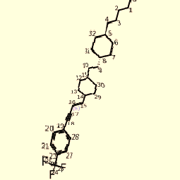 CCCCC[C@H]1CC[C@H](CCC2CCC(/C=C/C#Cc3ccc(C(F)(F)F)cc3)CC2)CC1